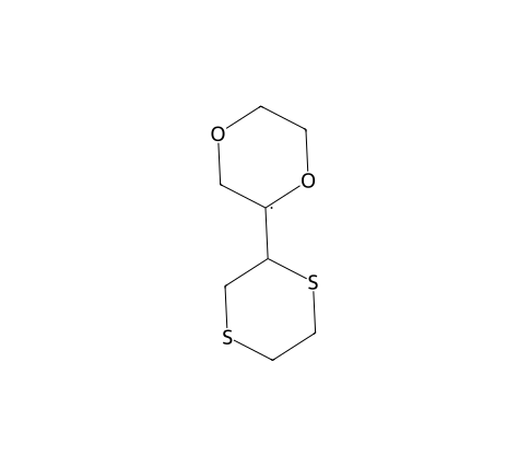 C1CO[C](C2CSCCS2)CO1